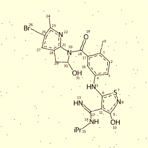 Cc1ccc(Nc2snc(O)c2C(=N)NC(C)C)cc1C(=O)N1c2nc(C)c(Br)cc2CC1O